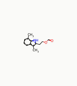 Cc1c(CCOC=O)[nH]c2c(C)cccc12